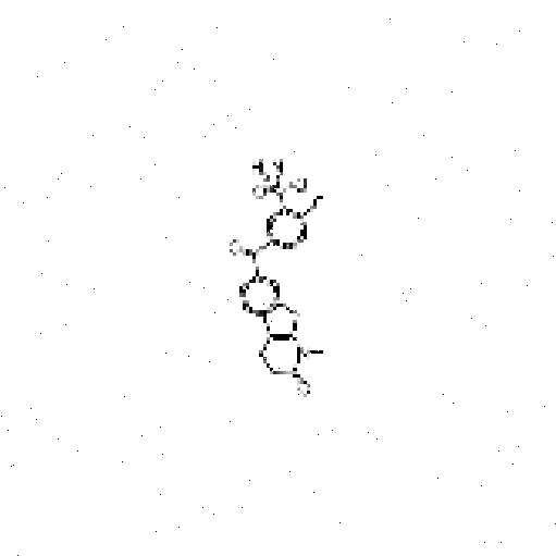 CN1C(=O)CCC2=C1Cc1cc(C(=O)c3ccc(Cl)c(S(N)(=O)=O)c3)ccc12